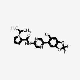 CC(C)n1cccc1C(=O)Nc1cnc(-c2cc3c(cc2Cl)OC(F)(F)O3)cn1